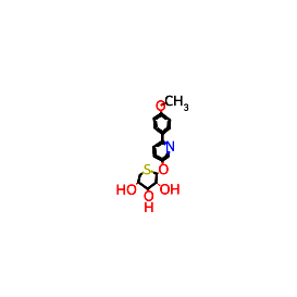 COc1ccc(-c2ccc(O[C@H]3SC[C@@H](O)[C@H](O)[C@H]3O)cn2)cc1